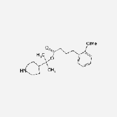 COc1ccccc1CCCC(=O)OC(C)(C)C1CCNCC1